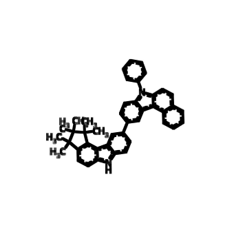 CC1(C)c2ccc3[nH]c4ccc(-c5ccc6c(c5)c5c7ccccc7ccc5n6-c5ccccc5)cc4c3c2C(C)(C)C1(C)C